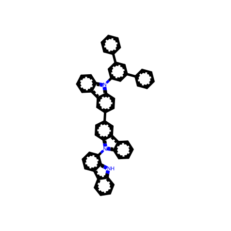 c1ccc(-c2cc(-c3ccccc3)cc(-n3c4ccccc4c4cc(-c5ccc6c(c5)c5ccccc5n6-c5cccc6c5[nH]c5ccccc56)ccc43)c2)cc1